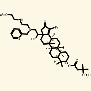 COCCNCCN(Cc1ccccn1)CC(O)C12CC[C@]3(C)[C@H](CC[C@@H]4[C@@]5(C)CC[C@H](OC(=O)CC(C)(C)C(=O)O)C(C)(C)[C@H]5CC[C@]43C)C1=C(C(C)C)C(=O)C2